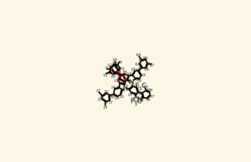 Cc1cc(C)cc(-c2ccc3c(c2)c2cc(-c4cc(C)cc(C)c4)ccc2n3-c2cc(C#N)c(-c3c(C(F)(F)F)cccc3C(F)(F)F)cc2-n2c3ccc(-c4cc(C)cc(C)c4)cc3c3cc(-c4cc(C)cc(C)c4)ccc32)c1